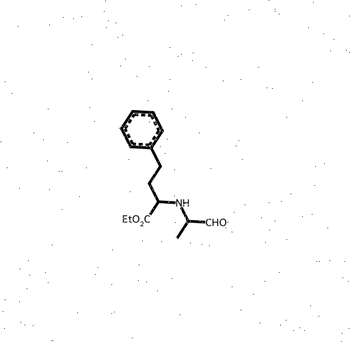 CCOC(=O)C(CCc1ccccc1)NC(C)[C]=O